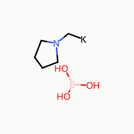 OB(O)O.[K][CH2]N1CCCC1